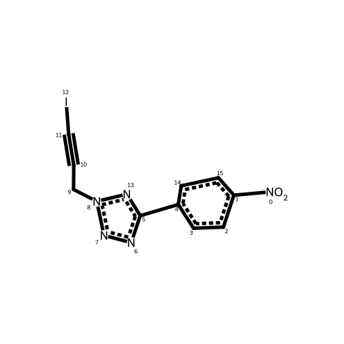 O=[N+]([O-])c1ccc(-c2nnn(CC#CI)n2)cc1